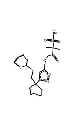 CC[C@H](C)S(=O)(=O)C(C)(C)C(=O)Nc1cc(C2(COC3CCCCO3)CCCC2)no1